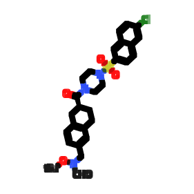 CC(C)(C)ON(C=O)Cc1ccc2c(c1)CC[C@H](C(=O)N1CCN(S(=O)(=O)c3ccc4cc(Cl)ccc4c3)CC1)C2